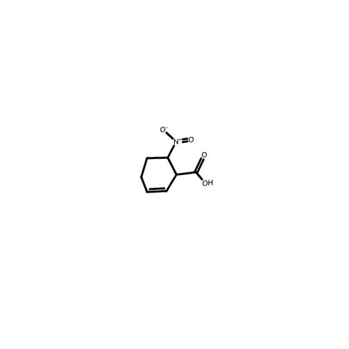 O=C(O)C1C=CCCC1[N+](=O)[O-]